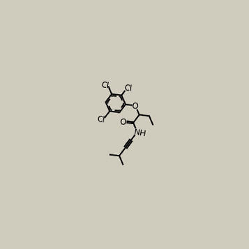 CCC(Oc1cc(Cl)cc(Cl)c1Cl)C(=O)NC#CC(C)C